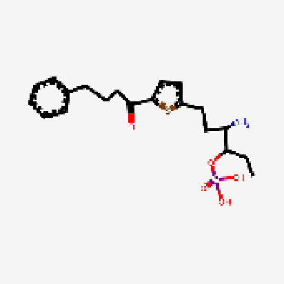 CCC(OP(=O)(O)O)C(N)CCc1ccc(C(=O)CCCc2ccccc2)s1